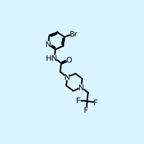 O=C(CN1CCN(CC(F)(F)F)CC1)Nc1cc(Br)ccn1